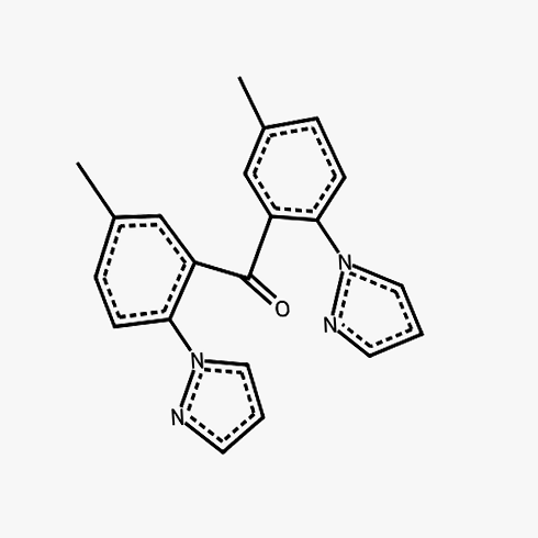 Cc1ccc(-n2cccn2)c(C(=O)c2cc(C)ccc2-n2cccn2)c1